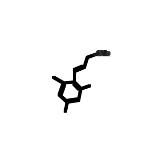 [CH2]OC/C=C/c1c(C)cc(C)cc1C